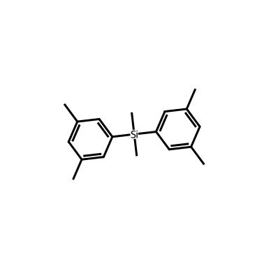 Cc1cc(C)cc([Si](C)(C)c2cc(C)cc(C)c2)c1